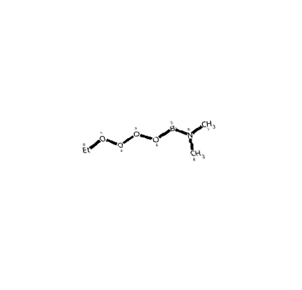 CCOOOO[B]N(C)C